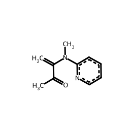 C=C(C(C)=O)N(C)c1ccccn1